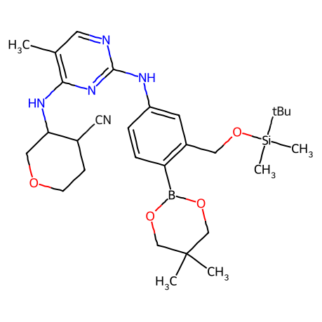 Cc1cnc(Nc2ccc(B3OCC(C)(C)CO3)c(CO[Si](C)(C)C(C)(C)C)c2)nc1NC1COCCC1C#N